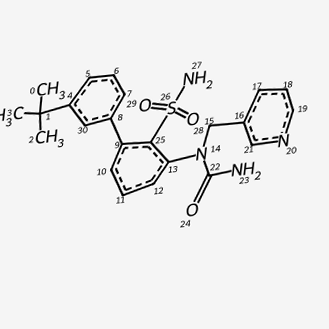 CC(C)(C)c1cccc(-c2cccc(N(Cc3cccnc3)C(N)=O)c2S(N)(=O)=O)c1